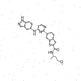 COCCC(C)NC(=O)c1cc2ccc(-c3nccc(Nc4ccc5[nH]ncc5c4)n3)cc2s1